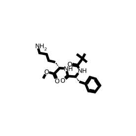 COC(=O)[C@H](CCCCN)NC(=O)[C@@H](Cc1ccccc1)NC(=O)C(C)(C)C